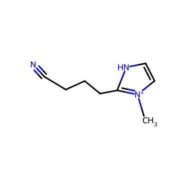 C[n+]1cc[nH]c1CCCC#N